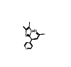 Cc1cc(-c2ccncc2)c2nc(C)c(C)n2n1